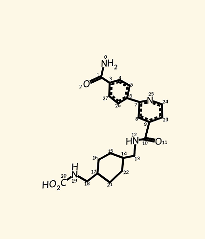 NC(=O)c1ccc(-c2cc(C(=O)NCC3CCC(CNC(=O)O)CC3)ccn2)cc1